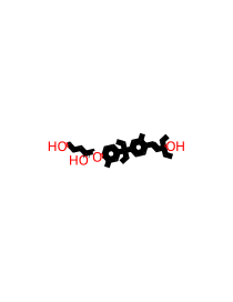 CCC(O)(C=Cc1ccc(C(CC)(CC)c2ccc(OC[C@H](O)CCCO)c(C)c2)cc1C)CC